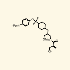 C=C(CO)C(=O)OCC(COC)CC1CCC(C(F)(F)Oc2ccc(CCCCC)cc2)CC1